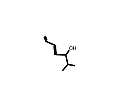 C=C/C=C/C(O)C(C)C